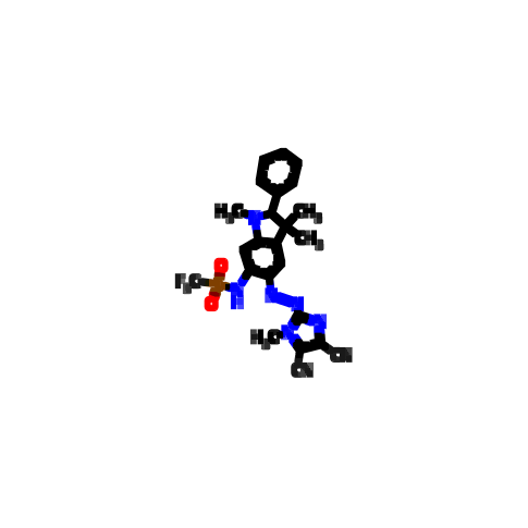 CN1c2cc(NS(=O)(=O)C(F)(F)F)c(N=Nc3nc(C#N)c(C#N)n3C)cc2C(C)(C)C1c1ccccc1